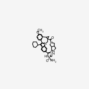 COc1ccc2c(c1)C1CC1(C(=O)N1CC3CNCC3C1)Cn1c-2c(C2CCCCC2)c2ccc(C(=O)NS(N)(=O)=O)cc21